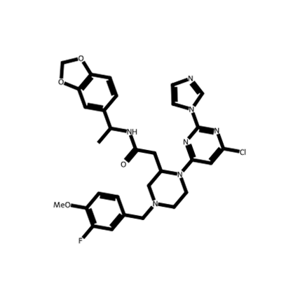 COc1ccc(CN2CCN(c3cc(Cl)nc(-n4ccnc4)n3)C(CC(=O)NC(C)c3ccc4c(c3)OCO4)C2)cc1F